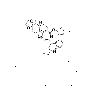 C[C@@H]1[C@H]2CCC3=C(NC=C(c4cc(CF)nc5ccccc45)N=C3OC3CCCC3)[C@]2(C)CCC12OCCO2